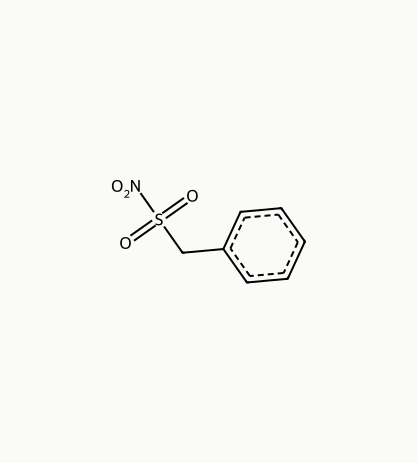 O=[N+]([O-])S(=O)(=O)Cc1ccccc1